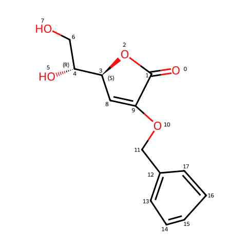 O=C1O[C@H]([C@H](O)CO)C=C1OCc1ccccc1